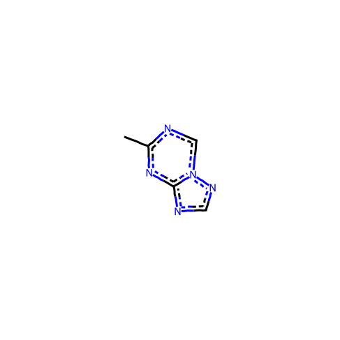 Cc1ncn2ncnc2n1